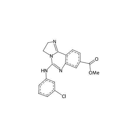 COC(=O)c1ccc2c(c1)N=C(Nc1cccc(Cl)c1)N1CCN=C21